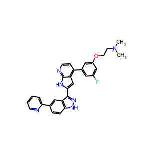 CN(C)CCOc1cc(F)cc(-c2ccnc3[nH]c(-c4n[nH]c5ccc(-c6ccccn6)cc45)cc23)c1